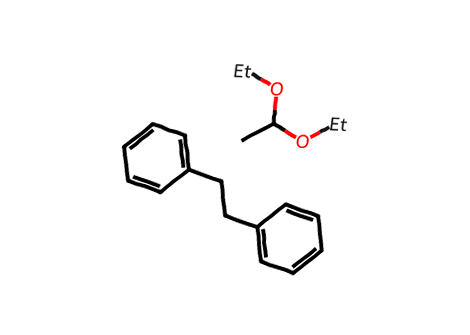 CCOC(C)OCC.c1ccc(CCc2ccccc2)cc1